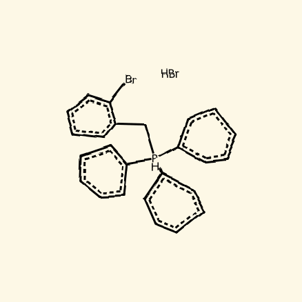 Br.Brc1ccccc1C[PH](c1ccccc1)(c1ccccc1)c1ccccc1